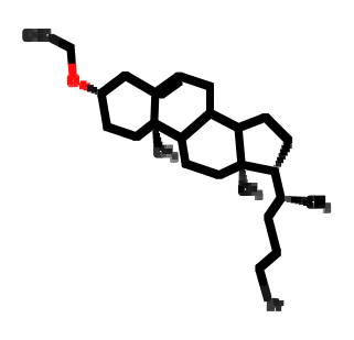 CC(C)CCC[C@@H](C)[C@H]1CCC2C3CC=C4C[C@@H](OCC=O)CC[C@]4(C)C3CC[C@@]21C